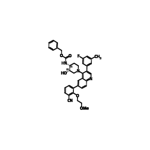 COCCOc1c(C#N)cccc1-c1ccc2ncc(-c3cc(C)cc(F)c3)c(N3CC[C@@H](NC(=O)OCc4ccccc4)[C@@H](O)C3)c2c1